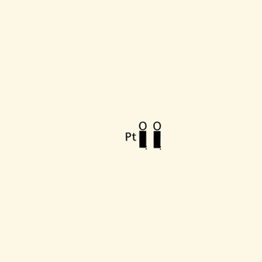 [C]=O.[C]=O.[Pt]